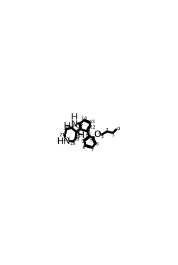 CCCCOc1ccccc1-c1cccc2c1[C@@H]1CCNCC[C@@H]1N2